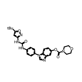 CC(C)(C)c1cc(NC(=O)Nc2ccc(-n3cnc4cc(OC(=O)N5CCOCC5)ccc43)cc2)no1